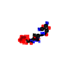 CN(C)c1ccc2c(-c3cc(C(=O)NCC#Cc4ccc([C@H](OCc5cn([C@H]6C[C@@H](O)[C@@H](COP(=O)(O)OP(=O)(O)OP(=O)(O)O)O6)c(=O)nc5N)C(C)(C)C)c([N+](=O)[O-])c4)ccc3C=O)c3ccc(=[N+](C)C)cc-3oc2c1